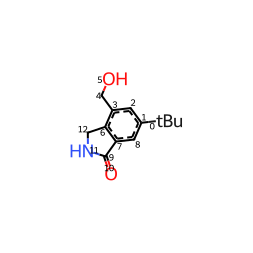 CC(C)(C)c1cc(CO)c2c(c1)C(=O)NC2